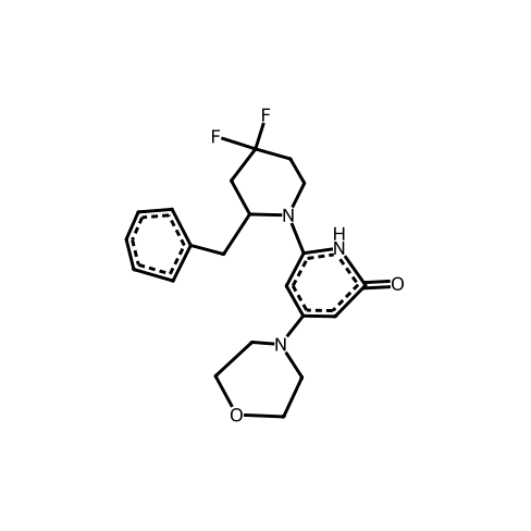 O=c1cc(N2CCOCC2)cc(N2CCC(F)(F)CC2Cc2ccccc2)[nH]1